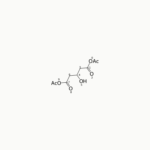 CC(=O)OC(=O)CC(O)CC(=O)OC(C)=O